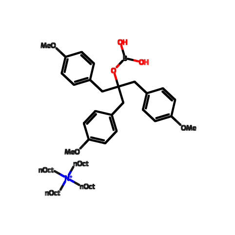 CCCCCCCC[N+](CCCCCCCC)(CCCCCCCC)CCCCCCCC.COc1ccc(CC(Cc2ccc(OC)cc2)(Cc2ccc(OC)cc2)OB(O)O)cc1